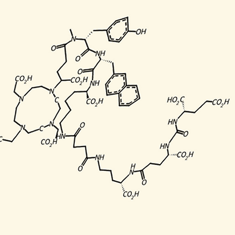 CN(C(=O)CCC(C(=O)O)N1CCN(CC(=O)O)CCN(CC(=O)O)CCN(CC(=O)O)CC1)[C@H](Cc1ccc(O)cc1)C(=O)N[C@H](Cc1ccc2ccccc2c1)C(=O)N[C@H](CCCCNC(=O)CCC(=O)NCCC[C@H](NC(=O)CC[C@H](NC(=O)N[C@@H](CCC(=O)O)C(=O)O)C(=O)O)C(=O)O)C(=O)O